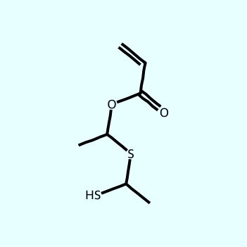 C=CC(=O)OC(C)SC(C)S